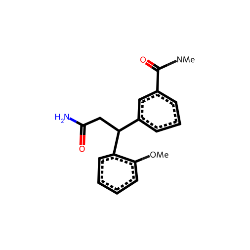 CNC(=O)c1cccc(C(CC(N)=O)c2ccccc2OC)c1